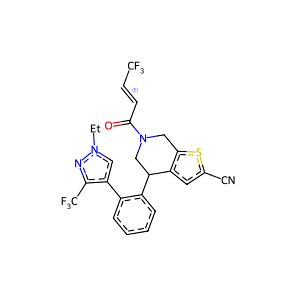 CCn1cc(-c2ccccc2C2CN(C(=O)/C=C/C(F)(F)F)Cc3sc(C#N)cc32)c(C(F)(F)F)n1